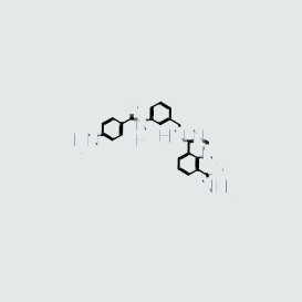 NC(=O)c1cccc2c(NCc3cccc(NC(=O)c4ccc(N)cc4)c3)ncnc12